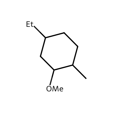 CCC1CCC(C)C(OC)C1